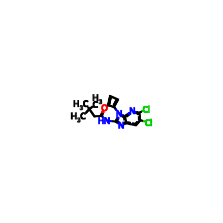 CC(C)(C)CC(=O)Nc1nc2cc(Cl)c(Cl)nc2n1C1=CC=C1